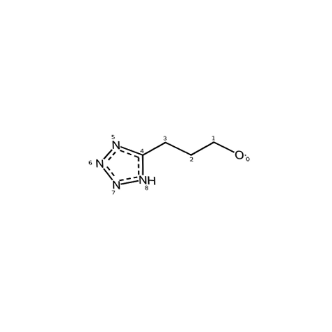 [O]CCCc1nnn[nH]1